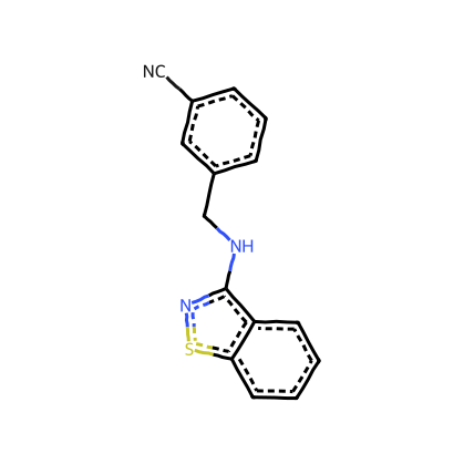 N#Cc1cccc(CNc2nsc3ccccc23)c1